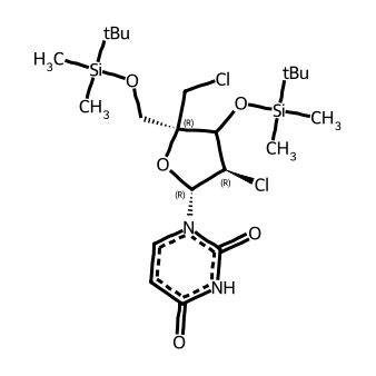 CC(C)(C)[Si](C)(C)OC[C@@]1(CCl)O[C@@H](n2ccc(=O)[nH]c2=O)[C@H](Cl)C1O[Si](C)(C)C(C)(C)C